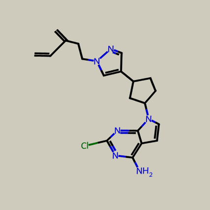 C=CC(=C)CCn1cc(C2CCC(n3ccc4c(N)nc(Cl)nc43)C2)cn1